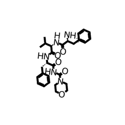 CC(C)[C@H](NC(=O)[C@@H](N)Cc1ccccc1)C(=O)N[C@@H](Cc1ccccc1)C(=O)NC(=O)N1CCOCC1